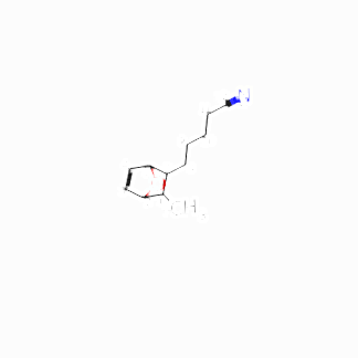 CC1C2C=CC(O2)C1CCCCC#N